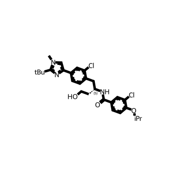 CC(C)Oc1ccc(C(=O)N[C@H](CCO)Cc2ccc(-c3cn(C)c(C(C)(C)C)n3)cc2Cl)cc1Cl